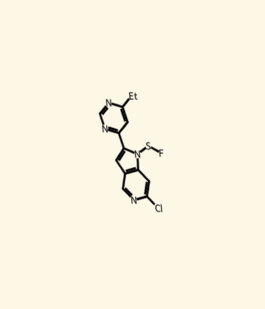 CCc1cc(-c2cc3cnc(Cl)cc3n2SF)ncn1